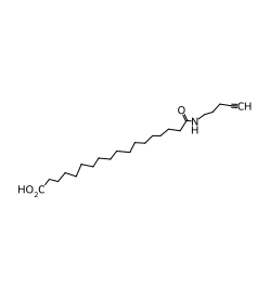 C#CCCCNC(=O)CCCCCCCCCCCCCCCCC(=O)O